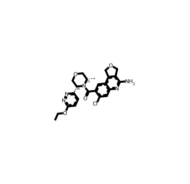 CCOc1ccc([C@@H]2COC[C@H](C)N2C(=O)c2cc3c4c(c(N)nc3cc2Cl)COC4)nn1